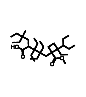 CCC(CC)C1(CC)CCC1(CC(CC)(CC)C(CC)(CC)C(CC(C)(CC)CC)C(=O)O)C(=O)OC